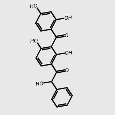 O=C(c1ccc(O)cc1O)c1c(O)ccc(C(=O)C(O)c2ccccc2)c1O